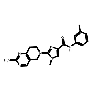 Cc1cccc(NC(=O)c2cn(C)c(N3CCc4nc(N)ncc4C3)n2)c1